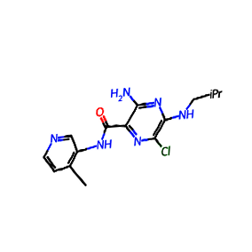 Cc1ccncc1NC(=O)c1nc(Cl)c(NCC(C)C)nc1N